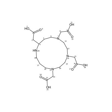 O=C(O)CC1CCN(CC(=O)O)CCN(CC(=O)O)CCN(CC(=O)O)CCCN1